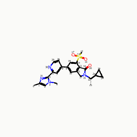 Cc1cn(C)c(-c2cc(-c3cc4c(c(S(C)(=O)=O)c3)C(=O)N([C@@H](C)C3CC3)C4)ccn2)n1